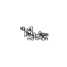 O=P(O)(O)CP(=O)(O)OCC1OC(n2cnc3c(NC4CN5CCC4CC5)nc(Cl)nc32)C(O)C1O